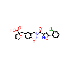 COc1ccc(CC2(C(=O)O)C=CCO2)cc1CNC(=O)c1cc(-c2ccccc2Cl)on1